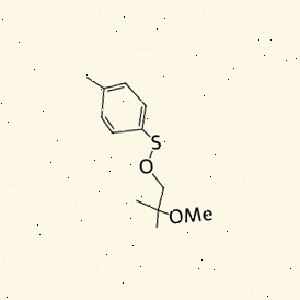 COC(C)(C)COSc1ccc(C)cc1